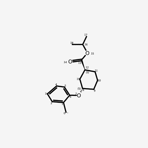 [CH2]c1ccccc1O[C@H]1CCC[C@H](C(=O)OC(C)C)C1